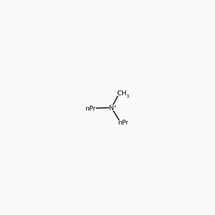 [CH2]CC[N+](C)CCC